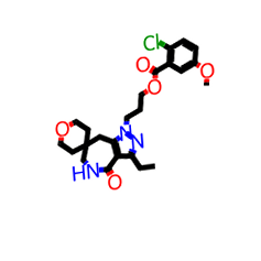 CCc1nn(CCCOC(=O)c2cc(OC)ccc2Cl)c2c1C(=O)NCC1(CCOCC1)C2